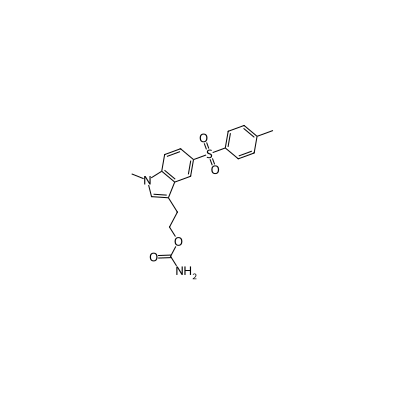 Cc1ccc(S(=O)(=O)c2ccc3c(c2)c(CCOC(N)=O)cn3C)cc1